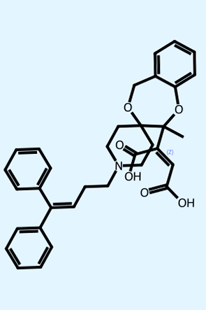 CC1(/C(=C/C(=O)O)C(=O)O)Oc2ccccc2COC12CCN(CCC=C(c1ccccc1)c1ccccc1)CC2